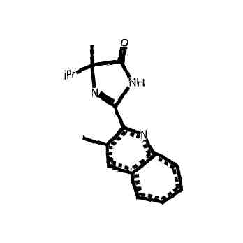 Cc1cc2ccccc2nc1C1=NC(C)(C(C)C)C(=O)N1